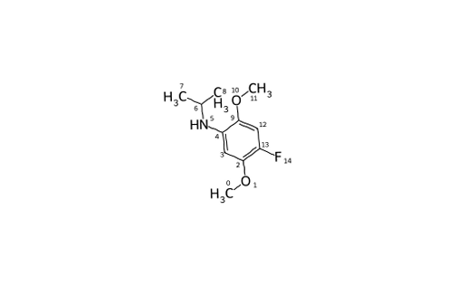 COc1cc(NC(C)C)c(OC)cc1F